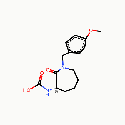 COc1ccc(CN2CCCC[C@H](NC(=O)O)C2=O)cc1